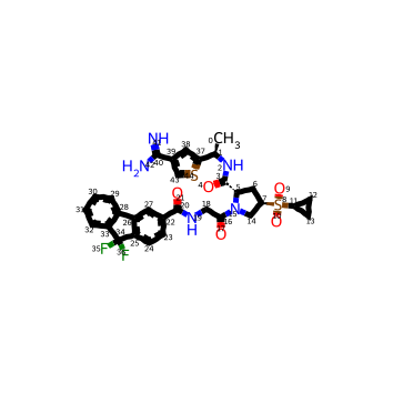 C[C@@H](NC(=O)[C@@H]1C[C@@H](S(=O)(=O)C2CC2)CN1C(=O)CNC(=O)c1ccc2c(c1)-c1ccccc1C2(F)F)c1cc(C(=N)N)cs1